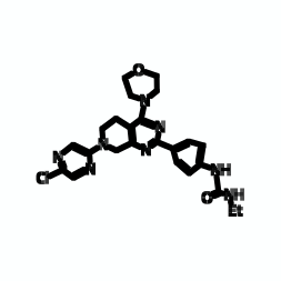 CCNC(=O)Nc1ccc(-c2nc3c(c(N4CCOCC4)n2)CCN(c2cnc(Cl)cn2)C3)cc1